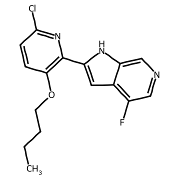 CCCCOc1ccc(Cl)nc1-c1cc2c(F)cncc2[nH]1